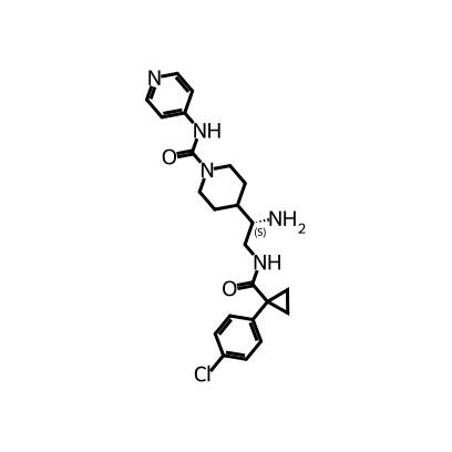 N[C@H](CNC(=O)C1(c2ccc(Cl)cc2)CC1)C1CCN(C(=O)Nc2ccncc2)CC1